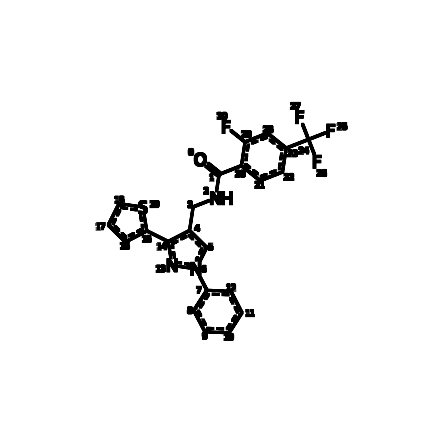 O=C(NCc1cn(-c2ccccc2)nc1-c1cccs1)c1ccc(C(F)(F)F)cc1F